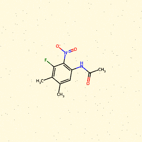 CC(=O)Nc1cc(C)c(C)c(F)c1[N+](=O)[O-]